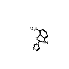 O=[N+]([O-])c1cccc2[nH]c(-n3ccnc3)nc12